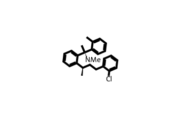 CN[C@](C)(c1ccccc1C)c1ccccc1[C@H](C)CCc1ccccc1Cl